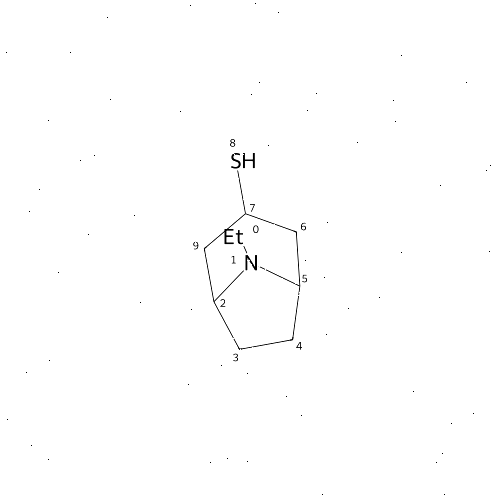 CCN1C2CCC1CC(S)C2